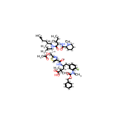 C#CCCCCN(C(=O)[C@@H](NC(=O)C1CCCCN1C)[C@@H](C)CC)[C@H](C[C@@H](OC(C)=O)c1nc(C(=O)NC(Cc2ccc(F)c(N(C)C(=O)OCc3ccccc3)c2)CC(C)(C)C(=O)O)cs1)C(C)C